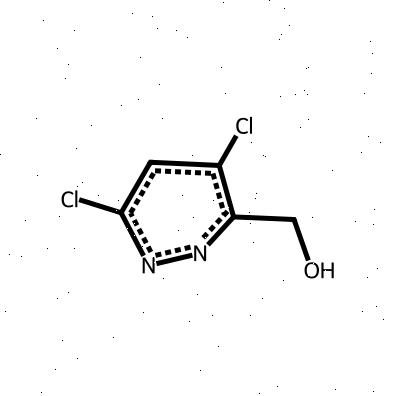 OCc1nnc(Cl)cc1Cl